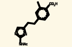 CC(=O)Nc1nc(CCc2ccc(C(=O)O)c(C)c2)cs1